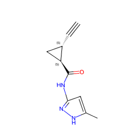 C#C[C@H]1C[C@@H]1C(=O)Nc1cc(C)[nH]n1